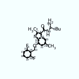 CC[C@H](C)C(N)NC(=O)c1c(C)nc2c(OCc3c(F)cccc3F)cc(C)cn12